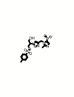 Cc1ccc(S(=O)(=O)OCC(CO)n2cc(Cn3c([N+](=O)[O-])cnc3C)nn2)cc1